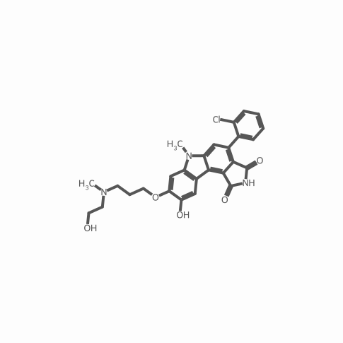 CN(CCO)CCCOc1cc2c(cc1O)c1c3c(c(-c4ccccc4Cl)cc1n2C)C(=O)NC3=O